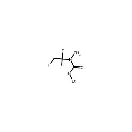 CC[N]C(=O)N(C)C(F)(F)CF